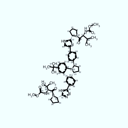 COC(=O)N[C@H](C(=O)N1CCC[C@H]1c1nc(-c2ccc([C@H]3CC[C@H](c4ccc(-c5nnc([C@@H]6CCCN6C(=O)[C@@H](NC(=O)OC)C(C)C)[nH]5)cc4)N3c3ccc(C(C)(C)C)cc3)cc2)c[nH]1)C(C)C